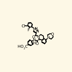 O=C(O)c1ccc(NC(=O)[C@@H]2c3cccc(N4CCOCC4)c3CCN2C(=O)c2cn(-c3cccc(Cl)c3F)nn2)cc1